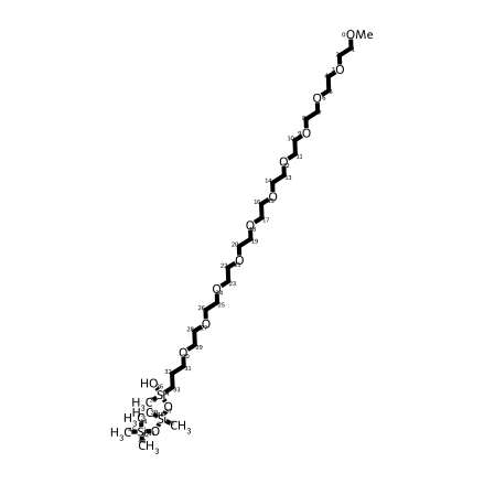 COCCOCCOCCOCCOCCOCCOCCOCCOCCOCCOCCC[Si](C)(O)O[Si](C)(C)O[Si](C)(C)C